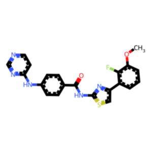 COc1cccc(-c2csc(NC(=O)c3ccc(Nc4ccncn4)cc3)n2)c1F